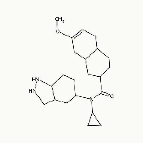 COC1=CCC2CCC(C(=O)N(C3CC3)C3CCC4NNCC4C3)CC2C1